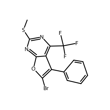 CSc1nc(C(F)(F)F)c2c(-c3ccccc3)c(Br)oc2n1